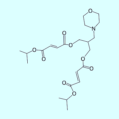 CC(C)OC(=O)/C=C/C(=O)OCC(COC(=O)/C=C/C(=O)OC(C)C)CN1CCOCC1